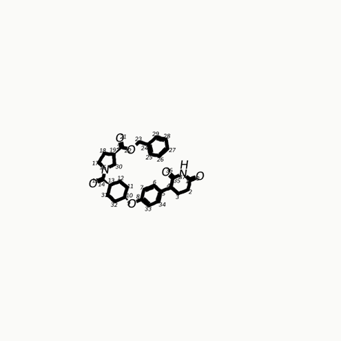 O=C1CCC(c2ccc(O[C@H]3CC[C@H](C(=O)N4CC[C@@H](C(=O)OCc5ccccc5)C4)CC3)cc2)C(=O)N1